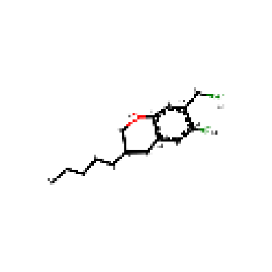 CCCCCC1COc2cc(CBr)c(F)cc2C1